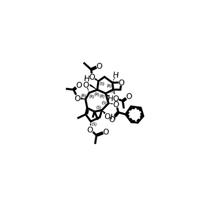 CC(=O)O[C@H]1C[C@@]2(O)[C@@H](OC(=O)c3ccccc3)[C@@H]3[C@]4(OC(C)=O)CO[C@@H]4C[C@H](OC(C)=O)[C@@]3(C)[C@@H](O)[C@H](OC(C)=O)C(=C1C)C2(C)C